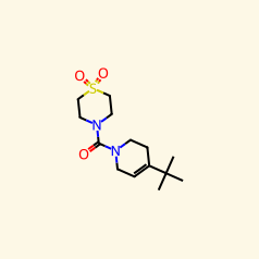 CC(C)(C)C1=CCN(C(=O)N2CCS(=O)(=O)CC2)CC1